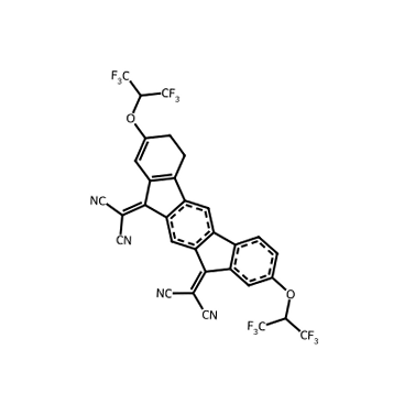 N#CC(C#N)=C1C2=C(CCC(OC(C(F)(F)F)C(F)(F)F)=C2)c2cc3c(cc21)C(=C(C#N)C#N)c1cc(OC(C(F)(F)F)C(F)(F)F)ccc1-3